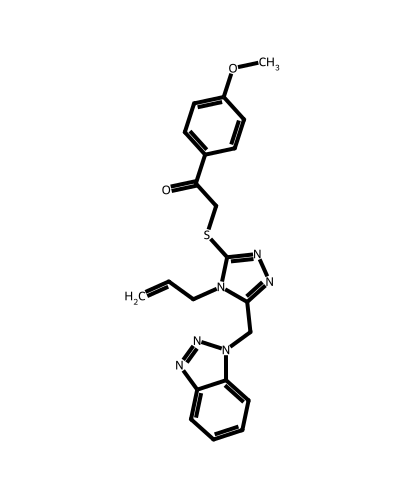 C=CCn1c(Cn2nnc3ccccc32)nnc1SCC(=O)c1ccc(OC)cc1